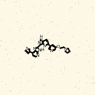 c1cc(-c2ccsc2)c2nc(-c3n[nH]c4ccc(-c5cncc(OCCN6CCCC6)c5)nc34)[nH]c2n1